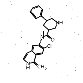 C=C1NC=Cc2cc(NC(=O)C3CNCC(c4ccccc4)C3)c(Cl)cc21